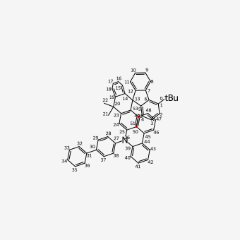 CC(C)(C)c1cccc2c1-c1ccccc1C21c2ccccc2C(C)(C)c2cc(N(c3ccc(-c4ccccc4)cc3)c3ccccc3-c3ccccc3)ccc21